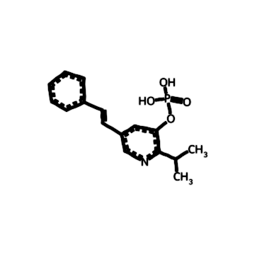 CC(C)c1ncc(C=Cc2ccccc2)cc1OP(=O)(O)O